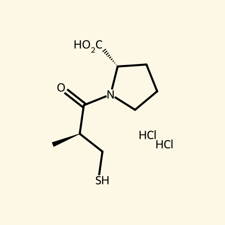 C[C@H](CS)C(=O)N1CCC[C@H]1C(=O)O.Cl.Cl